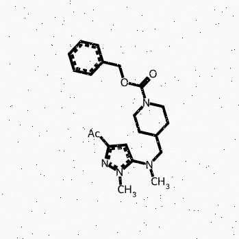 CC(=O)c1cc(N(C)CC2CCN(C(=O)OCc3ccccc3)CC2)n(C)n1